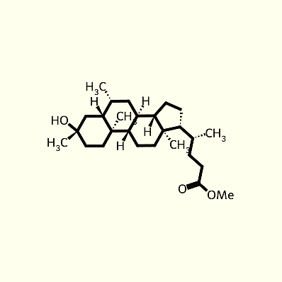 COC(=O)CC[C@@H](C)[C@H]1CC[C@H]2[C@@H]3C[C@@H](C)[C@H]4C[C@@](C)(O)CC[C@]4(C)[C@H]3CC[C@]12C